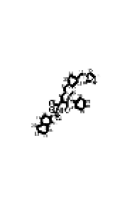 CCN(C(=O)C(CC=Cc1ccc(Cn2ccnc2)cc1)C(=O)NS(=O)(=O)c1ccc2ccccc2c1)c1ccccc1